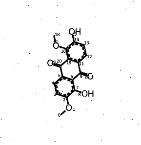 COc1ccc2c(c1O)C(=O)c1ccc(O)c(OC)c1C2=O